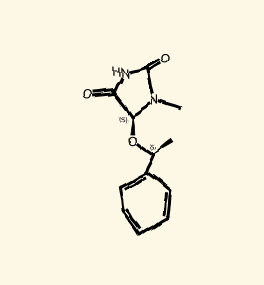 C[C@H](O[C@H]1C(=O)NC(=O)N1C)c1ccccc1